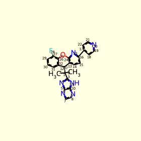 CC(C)(c1nc2nccnc2[nH]1)[C@@H]1c2ccc(-c3ccncc3)nc2Oc2c(F)cccc21